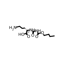 CCCCOC(=O)NC(=O)N[C@@H](CCCN)C(=O)O